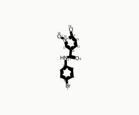 O=C(Nc1ccc(Br)cc1)c1ccc(Cl)[n+]([O-])c1